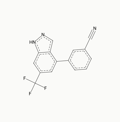 N#Cc1cccc(-c2cc(C(F)(F)F)cc3[nH]ncc23)c1